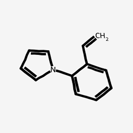 C=Cc1ccccc1-n1cccc1